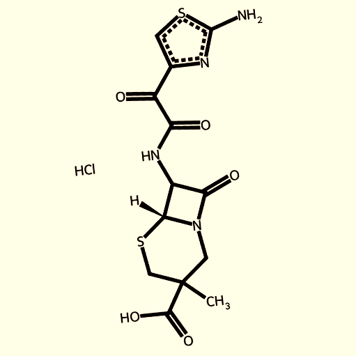 CC1(C(=O)O)CS[C@@H]2C(NC(=O)C(=O)c3csc(N)n3)C(=O)N2C1.Cl